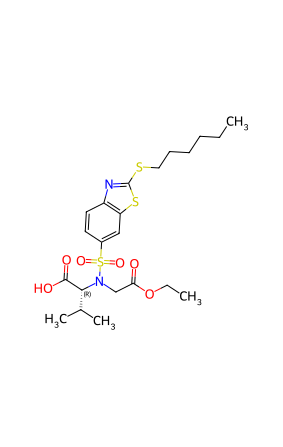 CCCCCCSc1nc2ccc(S(=O)(=O)N(CC(=O)OCC)[C@@H](C(=O)O)C(C)C)cc2s1